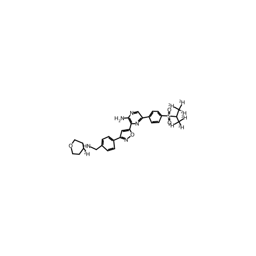 [2H]C1(NCc2ccc(-c3cc(-c4nc(-c5ccc(S(=O)(=O)C(C([2H])([2H])[2H])C([2H])([2H])[2H])cc5)cnc4N)on3)cc2)CCOCC1